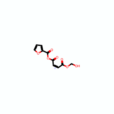 O=C(/C=C\C(=O)OC(=O)c1ccco1)OCO